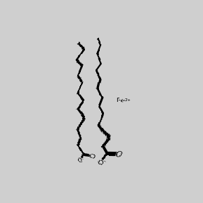 CCCCCCCCCCCCCC(=O)[O-].CCCCCCCCCCCCCC(=O)[O-].[Fe+2]